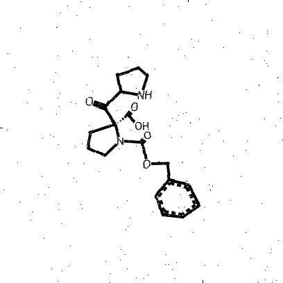 O=C(OCc1ccccc1)N1CCC[C@@]1(C(=O)O)C(=O)C1CCCN1